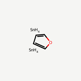 [SnH4].[SnH4].c1ccoc1